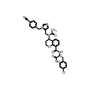 CC(=O)N(Cc1cncn1Cc1ccc(C#N)cc1)C1CCOc2c(C(=O)N[C@@H](Cc3ccc(Cl)cc3)C(N)=O)cccc21